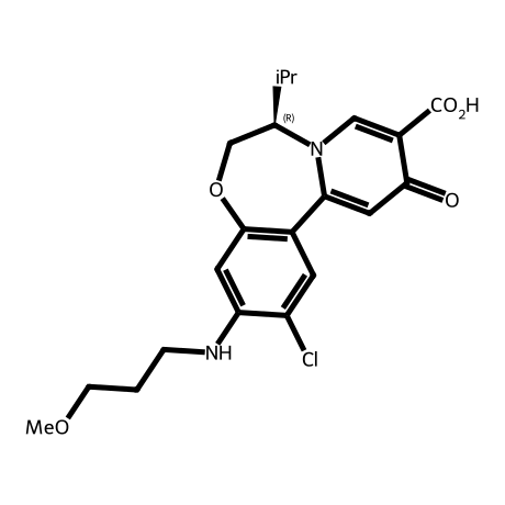 COCCCNc1cc2c(cc1Cl)-c1cc(=O)c(C(=O)O)cn1[C@H](C(C)C)CO2